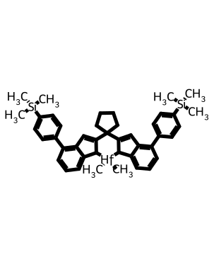 C[Si](C)(C)c1ccc(-c2cccc3c2C=C2[CH]3[Hf]([CH3])([CH3])[CH]3C(=Cc4c(-c5ccc([Si](C)(C)C)cc5)cccc43)C23CCCC3)cc1